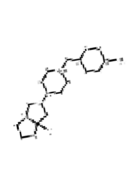 CCC12CCCN1C[C@@H](N1CCN(CC3CCN(C)CC3)CC1)C2